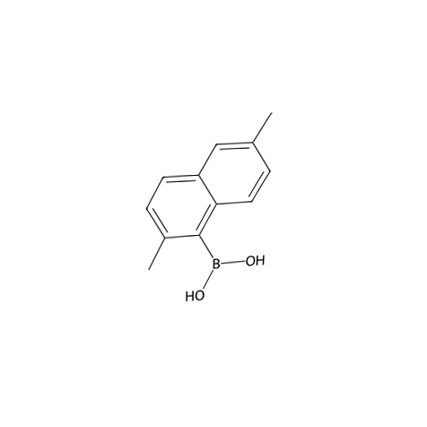 Cc1ccc2c(B(O)O)c(C)ccc2c1